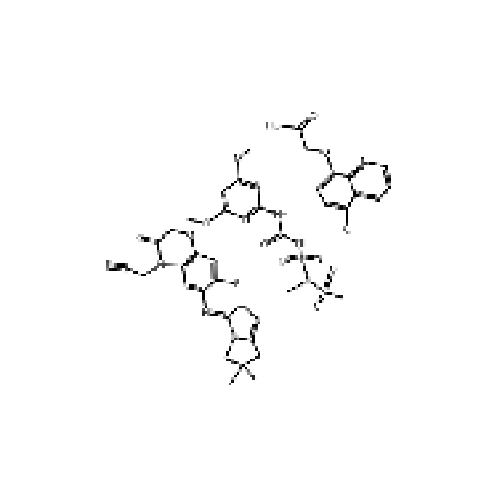 C#CCN1C(=O)COc2cc(F)c(/N=c3\snc4n3CC(C)(C)C4)cc21.COc1cc(OC)nc(NC(=O)NS(=O)(=O)N(C)S(C)(=O)=O)n1.O=C(O)COc1ccc(Cl)c2cccnc12